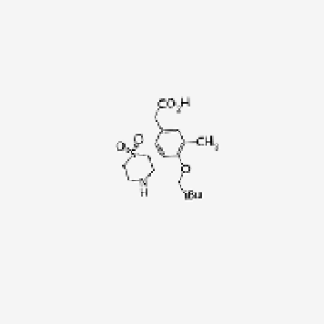 CCC(C)COc1ccc(CC(=O)O)cc1C.O=S1(=O)CCNCC1